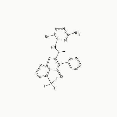 C[C@H](Nc1nc(N)ncc1Br)c1cc2cccc(C(F)(F)F)c2c(=O)n1-c1ccccc1